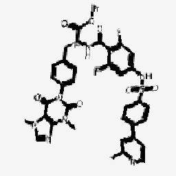 Cc1cc(-c2ccc(S(=O)(=O)Nc3cc(F)c(C(=O)N[C@@H](Cc4ccc(-n5c(=O)c6c(ncn6C)n(C)c5=O)cc4)C(=O)OC(C)C)c(F)c3)cc2)ccn1